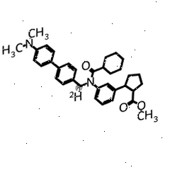 [2H][C@H](c1ccc(-c2ccc(N(C)C)cc2)cc1)N(C(=O)C1CCCCC1)c1cccc(C2CCCC2C(=O)OC)c1